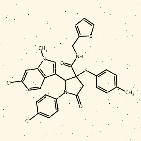 Cc1ccc(SC2(C(=O)NCc3cccs3)CC(=O)N(c3ccc(Cl)cc3)C2c2cn(C)c3cc(Cl)ccc23)cc1